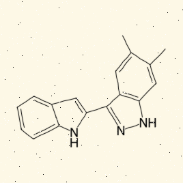 Cc1cc2[nH]nc(-c3cc4ccccc4[nH]3)c2cc1C